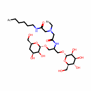 CC(=O)CCCCCNC(=O)CN(CC(C)=O)CC(=O)NC(CO[C@H]1O[C@H](CO)[C@@H](O)[C@H](O)[C@@H]1O)CO[C@H]1O[C@H](CO)C[C@H](O)[C@@H]1O